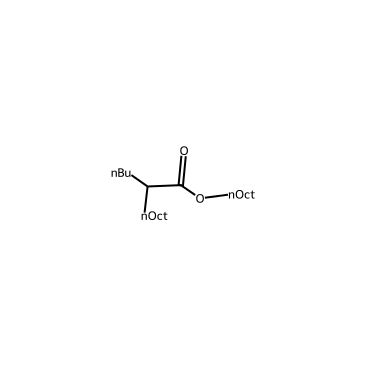 CCCCCCCCOC(=O)C(CCCC)CCCCCCCC